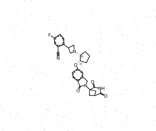 N#Cc1cc(F)ccc1C1CN([C@@H]2CCC[C@@H]2Oc2ccc3c(c2)CN(C24CC(C2)C(=O)NC4=O)C3=O)C1